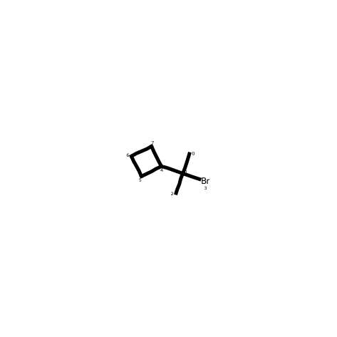 CC(C)(Br)C1CCC1